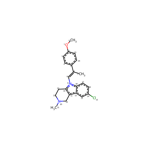 COc1ccc(C(C)=Cn2c3c(c4cc(Cl)ccc42)CN(C)CC3)cc1